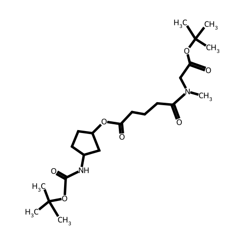 CN(CC(=O)OC(C)(C)C)C(=O)CCCC(=O)OC1CCC(NC(=O)OC(C)(C)C)C1